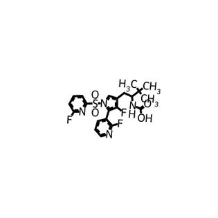 CC(C)(C)C(Cc1cn(S(=O)(=O)c2cccc(F)n2)c(-c2cccnc2F)c1F)NC(=O)O